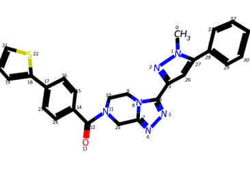 Cn1nc(-c2nnc3n2CCN(C(=O)c2ccc(-c4cccs4)cc2)C3)cc1-c1ccccc1